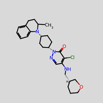 CC1CCc2ccccc2N1[C@H]1CC[C@@H](n2ncc(NC[C@H]3CCCOC3)c(Cl)c2=O)CC1